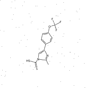 Cc1nc(-c2ccc(OC(F)(F)F)cc2)cn1C(=S)S